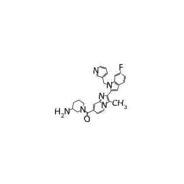 Cc1c(-c2cc3ccc(F)cc3n2Cc2cccnc2)nc2cc(C(=O)N3CCCC(N)C3)ccn12